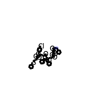 O=C(CCCC1(SC(=O)CCC(OC(=O)CCSCc2ccccc2)Oc2ccc(Cl)cc2)Sc2ccccc2N1c1ccccn1)OC(=O)CS(=O)(=O)/C=C\c1ccccc1